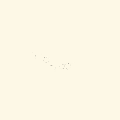 CSc1ccc2c(C)c(C(=O)/C=C/c3cc(C)c(OC(C)(C)C(=O)O)c(C)c3)oc2c1